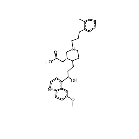 COc1ccc2nccc([C@H](O)CC[C@@H]3CCN(CCCc4ccccc4C)C[C@@H]3CC(=O)O)c2c1